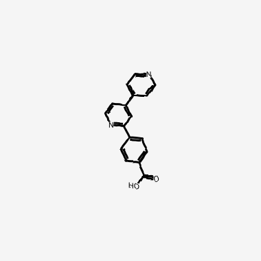 O=C(O)c1ccc(-c2cc(-c3ccncc3)ccn2)cc1